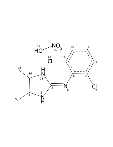 CC1NC(=Nc2c(Cl)cccc2Cl)NC1C.O=[N+]([O-])O